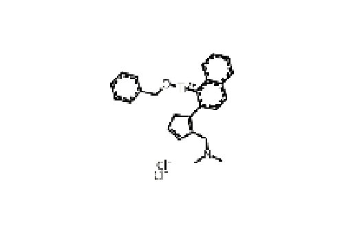 CN(C)CC1=C(c2ccc3ccccc3[c]2[Ti+2][O]Cc2ccccc2)CC=C1.[Cl-].[Cl-]